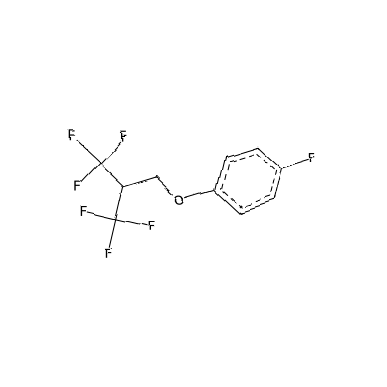 Fc1ccc(OCC(C(F)(F)F)C(F)(F)F)cc1